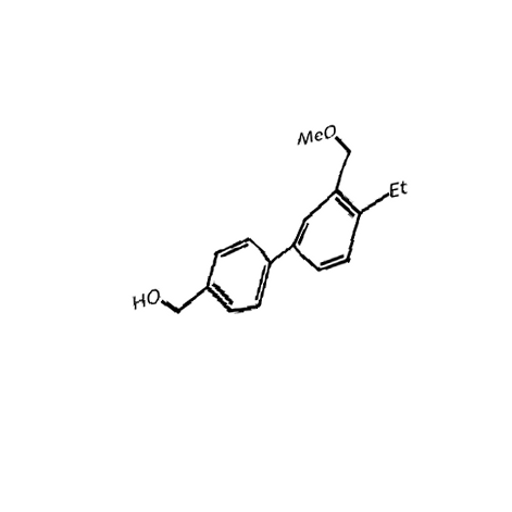 CCc1ccc(-c2ccc(CO)cc2)cc1COC